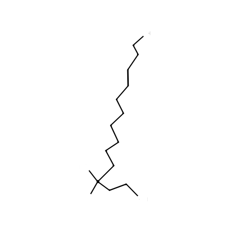 CC(O)(CCO)CCCCCCCCCCO